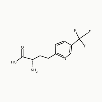 N[C@@H](CCc1ccc(C(F)(F)F)cn1)C(=O)O